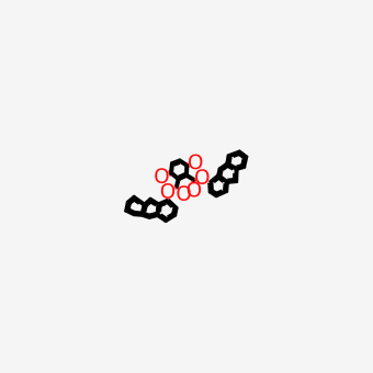 O=C1C=CC(=O)C(C(=O)Oc2cccc3cc4ccccc4cc23)=C1C(=O)Oc1cccc2cc3ccccc3cc12